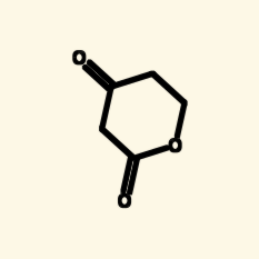 O=C1CCOC(=O)C1